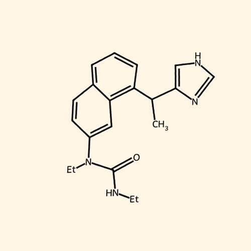 CCNC(=O)N(CC)c1ccc2cccc(C(C)c3c[nH]cn3)c2c1